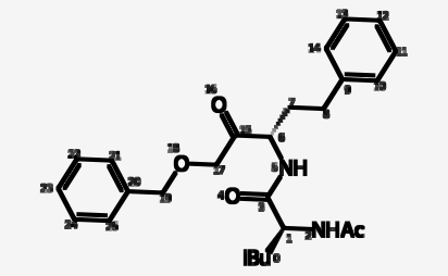 CCC(C)[C@H](NC(C)=O)C(=O)N[C@@H](CCc1ccccc1)C(=O)COCc1ccccc1